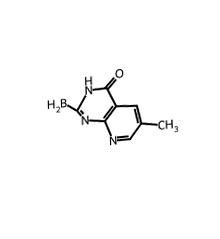 Bc1nc2ncc(C)cc2c(=O)[nH]1